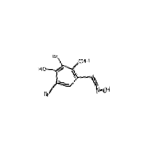 ON=Cc1cc(Br)c(O)c(Br)c1O